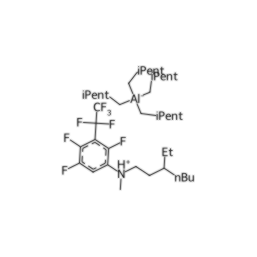 CCCC(C)[CH2][Al-]([CH2]C(C)CCC)([CH2]C(C)CCC)[CH2]C(C)CCC.CCCCC(CC)CC[NH+](C)c1cc(F)c(F)c(C(F)(F)C(F)(F)F)c1F